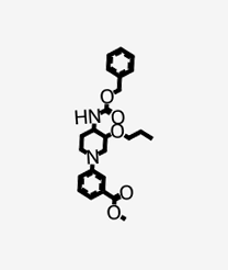 CCCOC1CN(c2cccc(C(=O)OC)c2)CCC1NC(=O)OCc1ccccc1